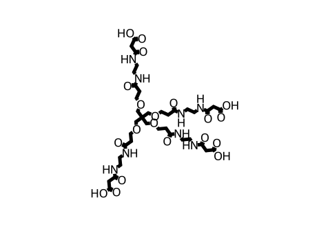 O=C(O)CC(=O)NCCNC(=O)CCOCC(COCCC(=O)NCCNC(=O)CC(=O)O)(COCCC(=O)NCCNC(=O)CC(=O)O)COCCC(=O)NCCNC(=O)CC(=O)O